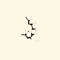 COc1cc(Cl)nn2c(-c3cc(C)on3)nnc12